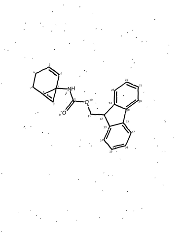 O=C(NC12C=CCCC1=C2)OCC1c2ccccc2-c2ccccc21